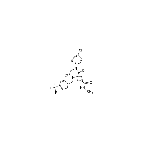 CNC(=O)N1CC2(C1)C(=O)N(c1ccc(Cl)cn1)CC(=O)N2Cc1ccc(C(F)(F)F)cc1